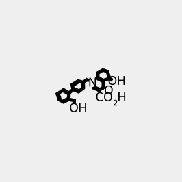 O=C(O)c1cn(Cc2ccc(-c3ccccc3CO)cc2)c2c(c1=O)C(O)CCC2